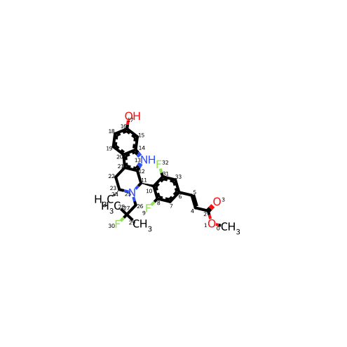 COC(=O)/C=C/c1cc(F)c([C@@H]2c3[nH]c4cc(O)ccc4c3C[C@@H](C)N2CC(C)(C)F)c(F)c1